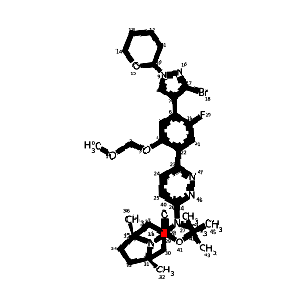 COCOc1cc(-c2cn(C3CCCCO3)nc2Br)c(F)cc1-c1ccc(N(C)C2C[C@]3(C)CC[C@](C)(C2)N3C(=O)OC(C)(C)C)nn1